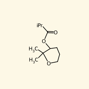 CC(C)C(=O)OC1CCCOC1(C)C